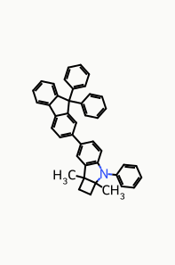 CC12CCC1(C)N(c1ccccc1)c1ccc(-c3ccc4c(c3)C(c3ccccc3)(c3ccccc3)c3ccccc3-4)cc12